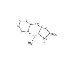 CN1C(=O)CC(OC2CCCCO2)[C@H]1CO